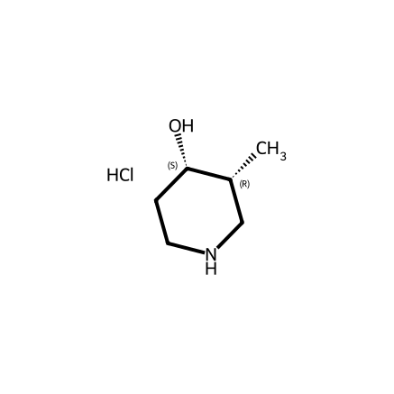 C[C@@H]1CNCC[C@@H]1O.Cl